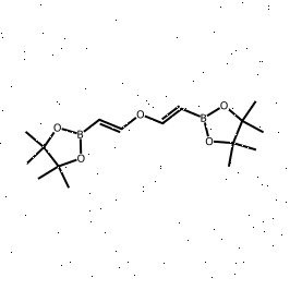 CC1(C)OB(C=COC=CB2OC(C)(C)C(C)(C)O2)OC1(C)C